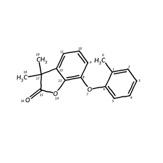 Cc1ccccc1Oc1cccc2c1OC(=O)C2(C)C